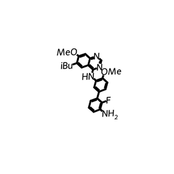 CCC(C)c1cc2c(Nc3cc(-c4cccc(N)c4F)ccc3OC)ncnc2cc1OC